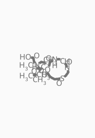 C[C@@H](C(=O)O)N(CC(C)(C)[C@H]1OC(=O)CCC(=O)SCCNC(=O)CCNC1=O)C(=O)OC(C)(C)C